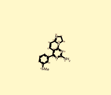 CSc1cccc(-c2nc(N)nc3c2C=CC2=NCCN23)c1